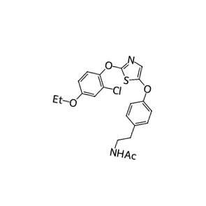 CCOc1ccc(Oc2ncc(Oc3ccc(CCNC(C)=O)cc3)s2)c(Cl)c1